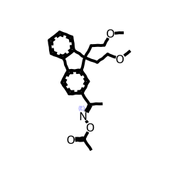 COCCC1(CCOC)c2ccccc2-c2ccc(/C(C)=N/OC(C)=O)cc21